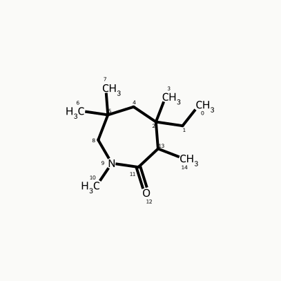 CCC1(C)CC(C)(C)CN(C)C(=O)C1C